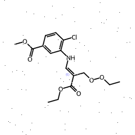 CCOOC/C(=C\Nc1cc(C(=O)OC)ccc1Cl)C(=O)OCC